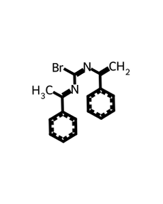 C=C(/N=C(Br)\N=C(/C)c1ccccc1)c1ccccc1